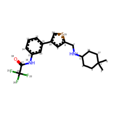 CC1(C)CCC(NCc2cc(-c3cccc(NC(=O)C(F)(F)F)c3)cs2)CC1